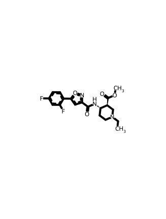 CCN1CC[C@H](NC(=O)c2cc(-c3ccc(F)cc3F)on2)[C@@H](C(=O)OC)C1